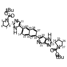 CC(C)(C)OC(=O)N1CCC[C@H]1c1ncc(-c2ccc3cc(-c4cc5[nH]c([C@@H]6CCCN6C(=O)OC(C)(C)C)nc5cn4)ccc3c2)[nH]1